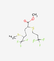 COC(=O)C(CCC(SC)C(F)(F)F)SCCC(F)(F)F